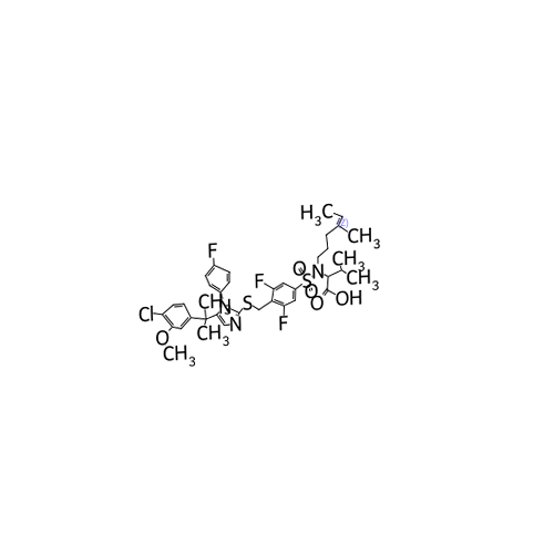 C/C=C(/C)CCCN(C(C(=O)O)C(C)C)S(=O)(=O)c1cc(F)c(CSc2ncc(C(C)(C)c3ccc(Cl)c(OC)c3)n2-c2ccc(F)cc2)c(F)c1